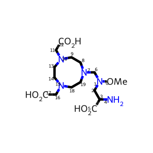 CON(CC(N)C(=O)O)CN1CCN(CC(=O)O)CCN(CC(=O)O)CC1